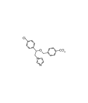 Clc1ccc(C(Cn2ccnc2)OCc2ccc(C(Cl)(Cl)Cl)cc2)cc1